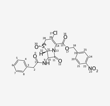 O=C(Cc1ccccc1)NC1C(=O)N2C(C(=O)OCc3ccc([N+](=O)[O-])cc3)=C(Cl)C[S+]([O-])[C@@H]12